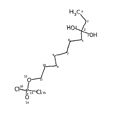 CCC(O)(O)CCCCCCCOP(=O)(Cl)Cl